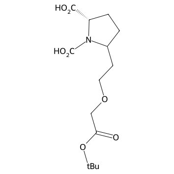 CC(C)(C)OC(=O)COCCC1CC[C@@H](C(=O)O)N1C(=O)O